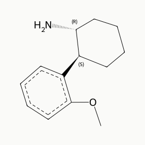 COc1ccccc1[C@@H]1CCCC[C@H]1N